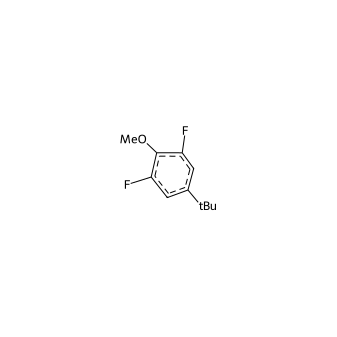 COc1c(F)cc(C(C)(C)C)cc1F